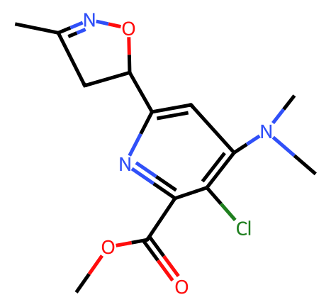 COC(=O)c1nc(C2CC(C)=NO2)cc(N(C)C)c1Cl